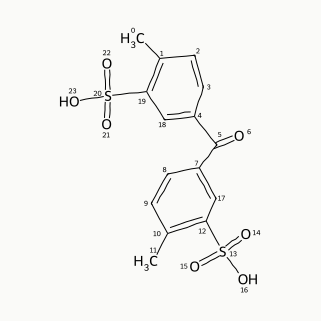 Cc1ccc(C(=O)c2ccc(C)c(S(=O)(=O)O)c2)cc1S(=O)(=O)O